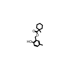 Cc1ccc(O)c(COC(=O)C2(C)CCCCC2)c1